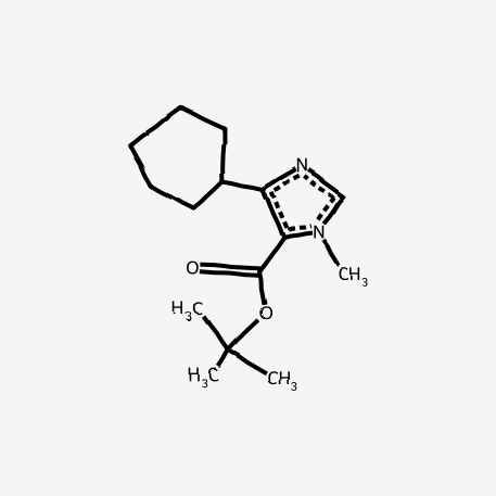 Cn1cnc(C2CCCCC2)c1C(=O)OC(C)(C)C